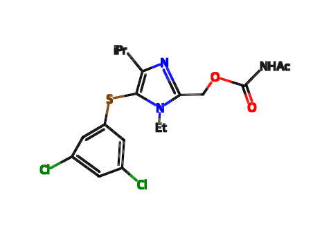 CCn1c(COC(=O)NC(C)=O)nc(C(C)C)c1Sc1cc(Cl)cc(Cl)c1